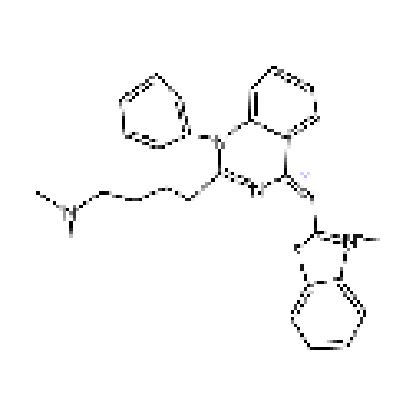 CN(C)CCCCC1=N/C(=C\c2sc3ccccc3[n+]2C)c2ccccc2N1c1ccccc1